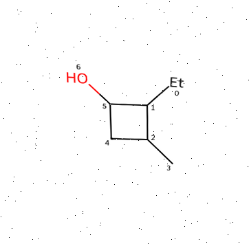 CCC1C(C)CC1O